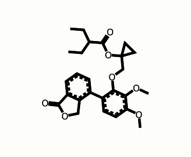 CCC(CC)C(=O)OC1(COc2c(-c3cccc4c3COC4=O)ccc(OC)c2OC)CC1